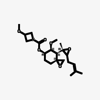 COC1CN(C(=O)O[C@@H]2CC[C@]3(CO3)[C@@H]([C@@]3(C)OC3CC=C(C)C)[C@@H]2OC)C1